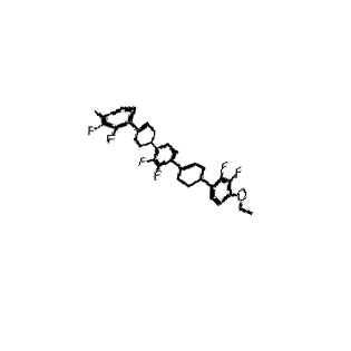 CCOc1ccc(C2CC=C(c3ccc(C4CC=C(c5ccc(C)c(F)c5F)CC4)c(F)c3F)CC2)c(F)c1F